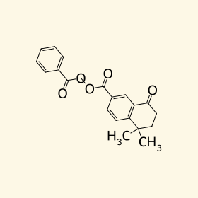 CC1(C)CCC(=O)c2cc(C(=O)OOC(=O)c3ccccc3)ccc21